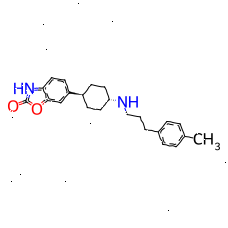 Cc1ccc(CCCN[C@H]2CC[C@H](c3ccc4[nH]c(=O)oc4c3)CC2)cc1